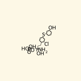 N[C@](CO)(CCc1ccc(Sc2cccc(O)c2)cc1Cl)COP(=O)(O)O